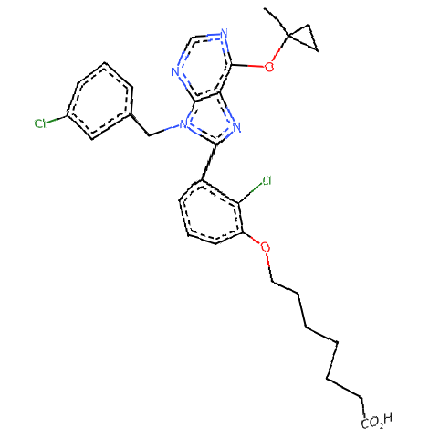 CC1(Oc2ncnc3c2nc(-c2cccc(OCCCCCCC(=O)O)c2Cl)n3Cc2cccc(Cl)c2)CC1